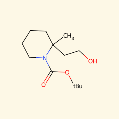 CC(C)(C)OC(=O)N1CCCCC1(C)CCO